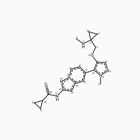 CNC1(COc2cnn(C)c2-c2ccn3nc(NC(=O)C4CC4)cc3c2)CC1